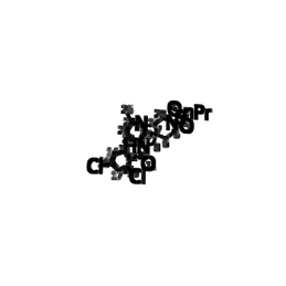 CCCS(=O)(=O)N1CCC(CNC(=O)c2ccc(Cl)cc2Cl)(c2cccc(C)n2)CC1